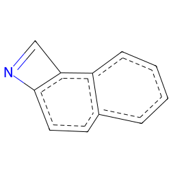 C1=Nc2ccc3ccccc3c21